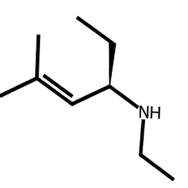 CCN[C@@H](C=C(C)C)CC